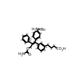 CC(C)(C)N.NC(=O)OCC(=C(c1ccccc1)c1cccc(CCCC(=O)O)c1)c1ccccc1